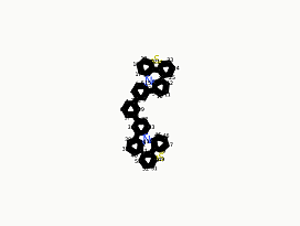 c1cc(-c2ccc3c(c2)c2ccccc2n3-c2cccc3sc4ccccc4c23)cc(-c2ccc3c(c2)c2ccccc2n3-c2cccc3sc4ccccc4c23)c1